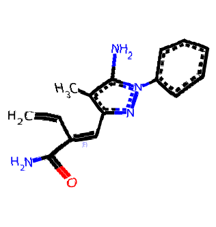 C=C/C(=C\c1nn(-c2ccccc2)c(N)c1C)C(N)=O